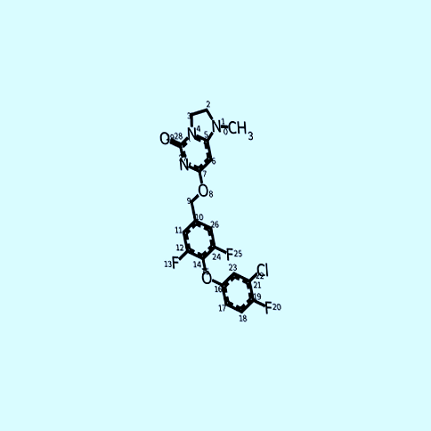 CN1CCn2c1cc(OCc1cc(F)c(Oc3ccc(F)c(Cl)c3)c(F)c1)nc2=O